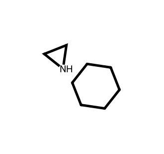 C1CCCCC1.C1CN1